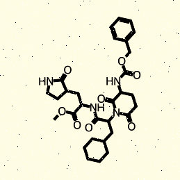 COC(=O)C(CC1CCNC1=O)NC(=O)C(CC1CCCCC1)N1C(=O)CCC(NC(=O)OCc2ccccc2)C1=O